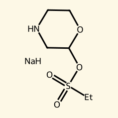 CCS(=O)(=O)OC1CNCCO1.[NaH]